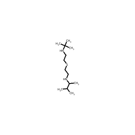 CC(C)C(C)NCCSCCNC(C)(C)C